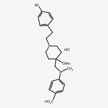 COC1(CN(C)c2ccc(C(=O)O)cc2)CCN(CCc2ccc(C#N)cc2)CC1.Cl